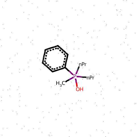 CCCP(C)(O)(CCC)c1ccccc1